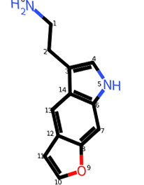 NCCc1c[nH]c2cc3occc3cc12